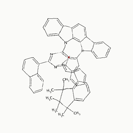 CC1(C)c2cccc(-c3cccc(-n4c5ccccc5c5ccc6c7ccccc7n(-c7nc(-c8ccccc8)nc(-c8cccc9ccccc89)n7)c6c54)c3)c2C(C)(C)C1(C)C